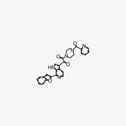 O=C(C(=O)N1CCN(C(=O)c2ccccn2)CC1)c1c[nH]c2c(-c3cc4ccccc4o3)nccc12